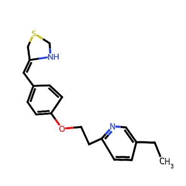 CCc1ccc(CCOc2ccc(C=C3CSCN3)cc2)nc1